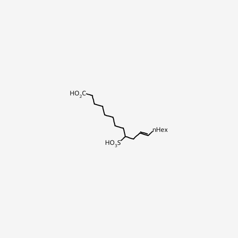 CCCCCC/C=C/CC(CCCCCCCC(=O)O)S(=O)(=O)O